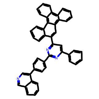 c1ccc(-c2cc(-c3cc4c5ccccc5c5ccccc5c4c4ccccc34)nc(-c3ccc(-c4cncc5ccccc45)cc3)n2)cc1